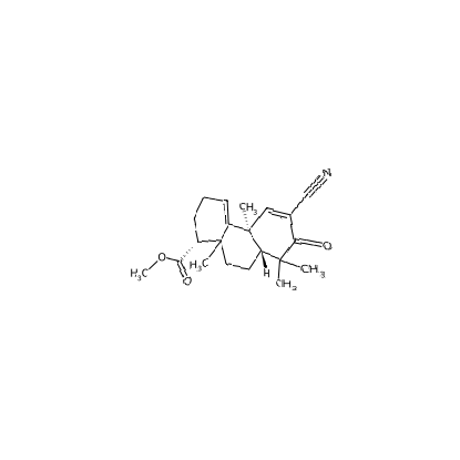 COC(=O)[C@@H]1CCC=C2C1(C)CC[C@H]1C(C)(C)C(=O)C(C#N)=C[C@]21C